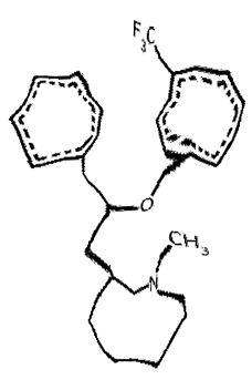 CN1CCCCC1CC(Oc1cccc(C(F)(F)F)c1)c1ccccc1